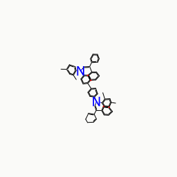 Cc1ccc(N(C=C(c2ccccc2)c2ccccc2)c2ccc(-c3ccc(N(/C=C(/C4=CCCC=C4)c4ccccc4)c4ccc(C)cc4C)cc3)cc2)c(C)c1